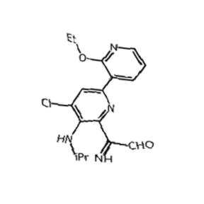 CCOc1ncccc1-c1cc(Cl)c(NC(C)C)c(C(=N)C=O)n1